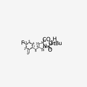 Cc1cc(F)ccc1CC1CC(C(=O)O)N(C(=O)OC(C)(C)C)C1